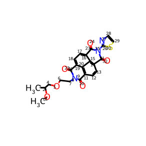 COC(C)COCCN1C(=O)c2ccc3c4c(ccc(c24)C1=O)C(=O)N(c1nccs1)C3=O